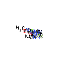 C=CC(=O)N1CC[C@H](F)[C@@H](Oc2nc(Nc3cnn(CC(F)F)c3)nc3[nH]cc(C#N)c23)C1